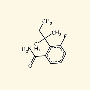 CCC(C)(C)c1c(F)cccc1C(N)=O